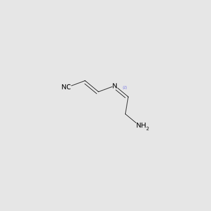 N#CC=C/N=C\CN